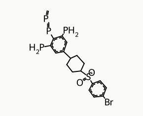 C=PC=Pc1c(P)cc(C2CCC(S(=O)(=O)c3ccc(Br)cc3)CC2)cc1P